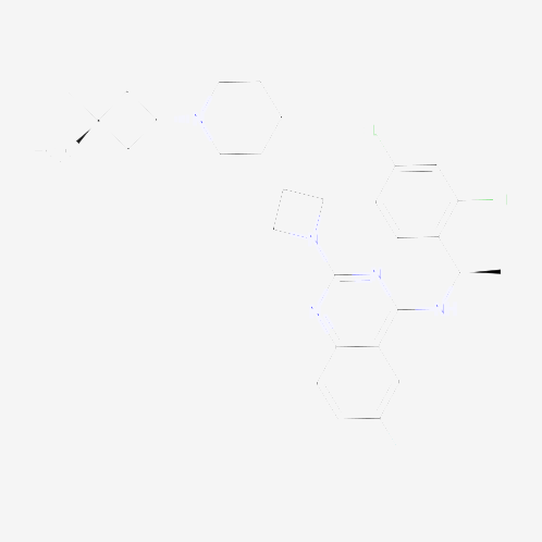 C[C@@H](Nc1nc(N2CC([C@H]3CCCN([C@H]4C[C@](C)(C(=O)O)C4)C3)C2)nc2ccc(F)cc12)c1ccc(Cl)cc1Cl